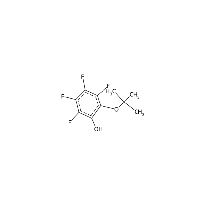 CC(C)(C)Oc1c(O)c(F)c(F)c(F)c1F